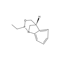 CCP1OC[C@H]2CN1c1ccccc12